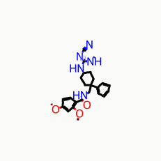 CN/C(=N\C#N)NC1CCC(CNC(=O)c2ccc(OC)cc2OC)(c2ccccc2)CC1